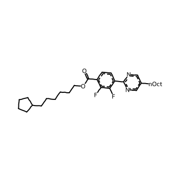 CCCCCCCCc1cnc(-c2ccc(C(=O)OCCCCCCC3CCCC3)c(F)c2F)nc1